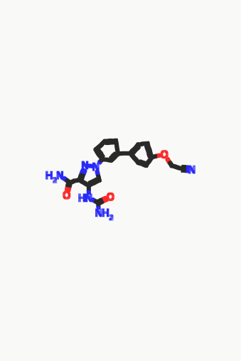 N#CCOc1ccc(-c2cccc(-n3cc(NC(N)=O)c(C(N)=O)n3)c2)cc1